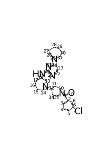 O=C(c1cccc(Cl)c1)N1CCC(N2CCCCC(Nc3nccc(N4CCCCCC4)n3)C2)CC1